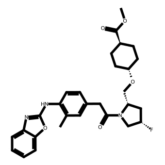 COC(=O)[C@H]1CC[C@H](OC[C@@H]2C[C@H](F)CN2C(=O)Cc2ccc(Nc3nc4ccccc4o3)c(C)c2)CC1